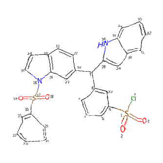 O=S(=O)(Cl)c1cccc(C(c2ccc3ccn(S(=O)(=O)c4ccccc4)c3c2)c2cc3ccccc3[nH]2)c1